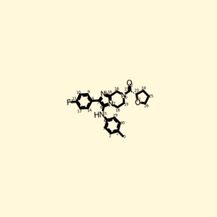 Cc1ccc(Nc2c(-c3ccc(F)cc3)nc3n2CCN(C(=O)[C@@H]2CCCO2)C3)cc1